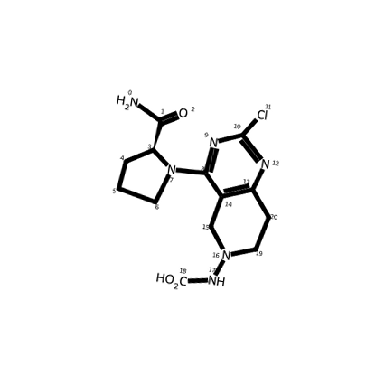 NC(=O)[C@@H]1CCCN1c1nc(Cl)nc2c1CN(NC(=O)O)CC2